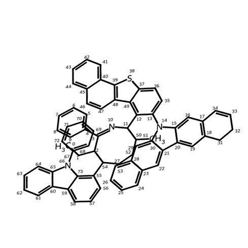 CCC1/C(c2ccccc2)=N\C(c2c(-n3c4cc5c(cc4c4cc6ccccc6cc43)CCC=C5)ccc3sc4c5ccccc5ccc4c23)C(C)CCC1c1cccc2c3ccccc3n(-c3ccccc3)c12